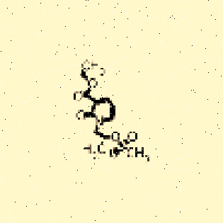 CCOC(=O)c1cccn(C[C@@H](C)OS(C)(=O)=O)c1=O